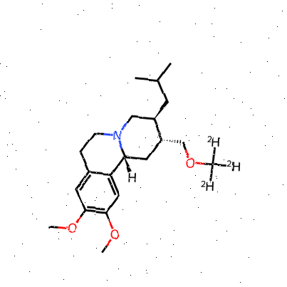 [2H]C([2H])([2H])OC[C@@H]1C[C@@H]2c3cc(OC)c(OC)cc3CCN2C[C@H]1CC(C)C